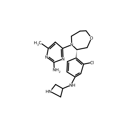 Cc1cc(N2CCCOC[C@@H]2c2ccc(NC3CNC3)cc2Cl)nc(N)n1